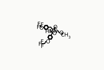 COCCNC(=O)C(Cc1ccc(OC(F)(F)F)cc1)NC(=O)c1ccc(OCCC(F)(F)F)cc1